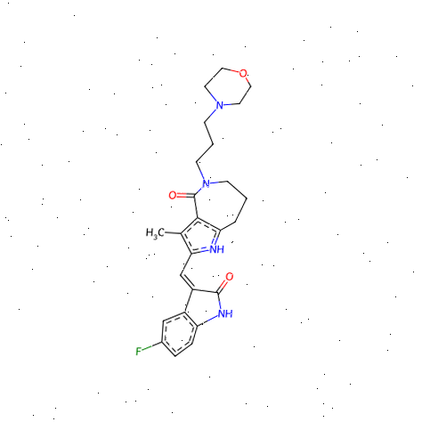 Cc1c(/C=C2\C(=O)Nc3ccc(F)cc32)[nH]c2c1C(=O)N(CCCN1CCOCC1)CCC2